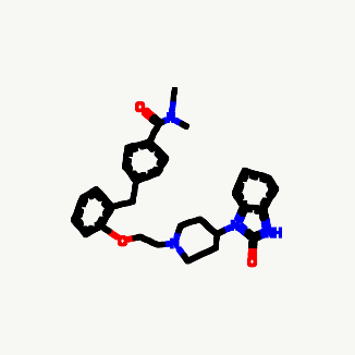 CN(C)C(=O)c1ccc(Cc2ccccc2OCCN2CCC(n3c(=O)[nH]c4ccccc43)CC2)cc1